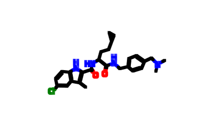 Cc1c(C(=O)NC(CCC2CC2)C(=O)NCc2ccc(CN(C)C)cc2)[nH]c2ccc(Cl)cc12